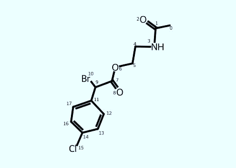 CC(=O)NCCOC(=O)C(Br)c1ccc(Cl)cc1